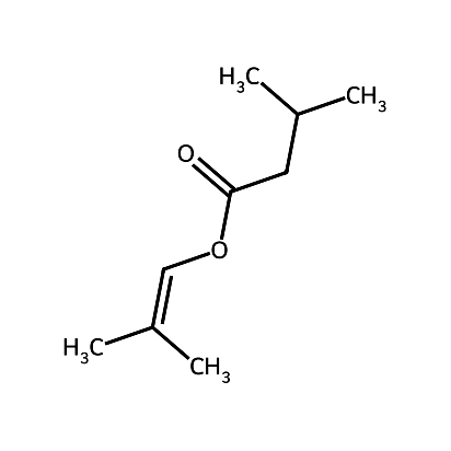 CC(C)=COC(=O)CC(C)C